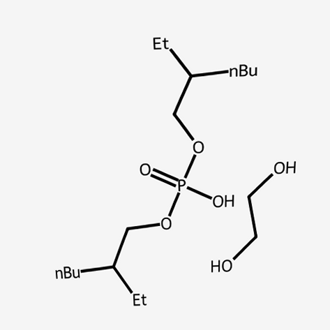 CCCCC(CC)COP(=O)(O)OCC(CC)CCCC.OCCO